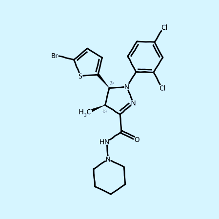 C[C@@H]1C(C(=O)NN2CCCCC2)=NN(c2ccc(Cl)cc2Cl)[C@@H]1c1ccc(Br)s1